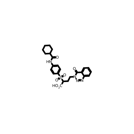 O=C(Nc1ccc(S(=O)(=O)C(CCn2nnc3ccccc3c2=O)C(=O)O)cc1)C1CCCCC1